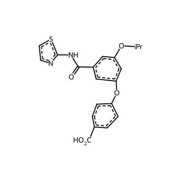 CC(C)Oc1cc(Oc2ccc(C(=O)O)cc2)cc(C(=O)Nc2nccs2)c1